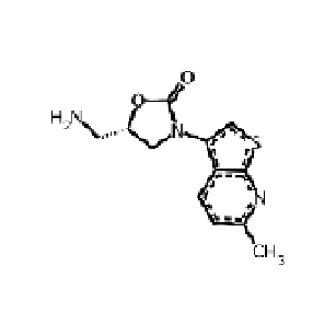 Cc1ccc2c(N3C[C@H](CN)OC3=O)csc2n1